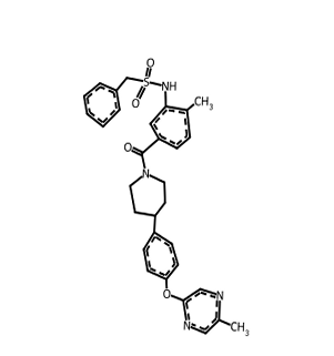 Cc1cnc(Oc2ccc(C3CCN(C(=O)c4ccc(C)c(NS(=O)(=O)Cc5ccccc5)c4)CC3)cc2)cn1